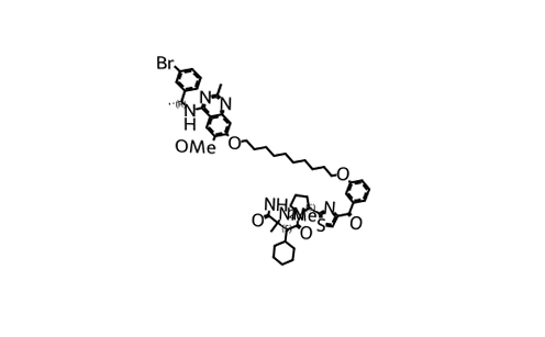 CNC(C)(C(N)=O)[C@@H](C(=O)N1CCC[C@H]1c1nc(C(=O)c2cccc(OCCCCCCCCCCOc3cc4nc(C)nc(N[C@H](C)c5cccc(Br)c5)c4cc3OC)c2)cs1)C1CCCCC1